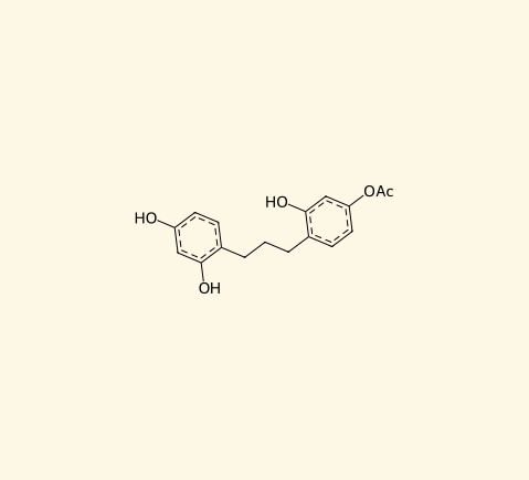 CC(=O)Oc1ccc(CCCc2ccc(O)cc2O)c(O)c1